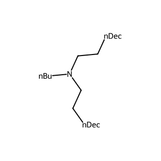 CCCCCCCCCCCCN(CCCC)CCCCCCCCCCCC